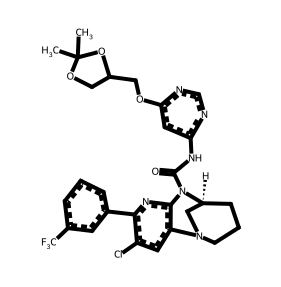 CC1(C)OCC(COc2cc(NC(=O)N3c4nc(-c5cccc(C(F)(F)F)c5)c(Cl)cc4N4CCC[C@H]3C4)ncn2)O1